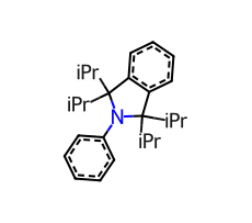 CC(C)C1(C(C)C)c2ccccc2C(C(C)C)(C(C)C)N1c1ccccc1